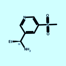 CC[C@H](N)c1cncc(S(C)(=O)=O)c1